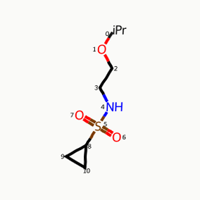 CC(C)OCCNS(=O)(=O)C1CC1